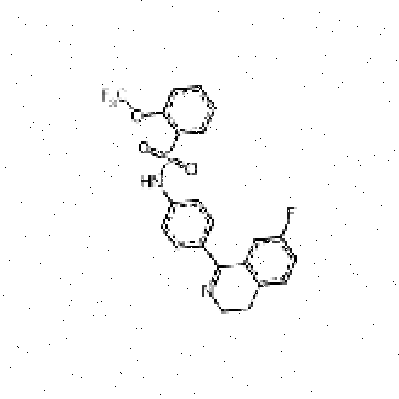 O=S(=O)(Nc1ccc(C2=NCCc3ccc(F)cc32)cc1)c1ccccc1OC(F)(F)F